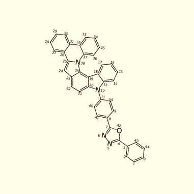 c1ccc(-c2nnc(-c3ccc(-n4c5ccccc5c5c4ccc4cc6c7ccccc7c7ccccc7n6c45)cc3)o2)cc1